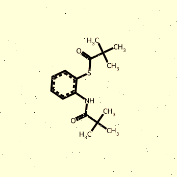 CC(C)(C)C(=O)Nc1ccccc1SC(=O)C(C)(C)C